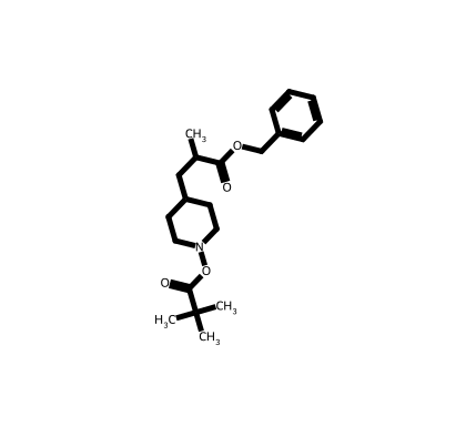 CC(CC1CCN(OC(=O)C(C)(C)C)CC1)C(=O)OCc1ccccc1